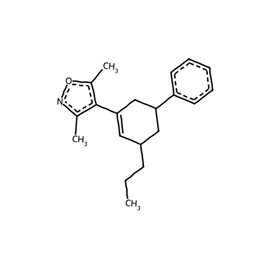 CCCC1C=C(c2c(C)noc2C)CC(c2ccccc2)C1